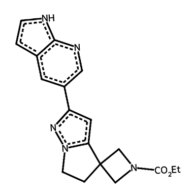 CCOC(=O)N1CC2(CCn3nc(-c4cnc5[nH]ccc5c4)cc32)C1